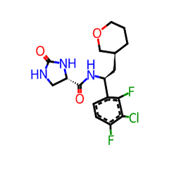 O=C1NC[C@@H](C(=O)N[C@@H](C[C@@H]2CCCOC2)c2ccc(F)c(Cl)c2F)N1